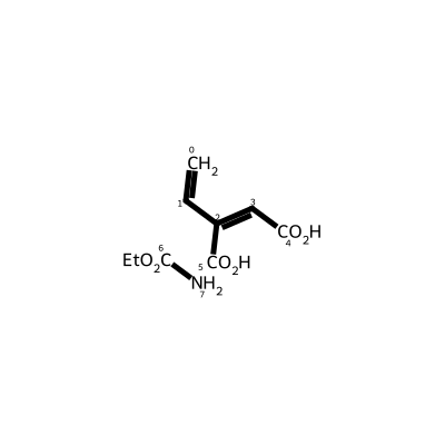 C=C/C(=C/C(=O)O)C(=O)O.CCOC(N)=O